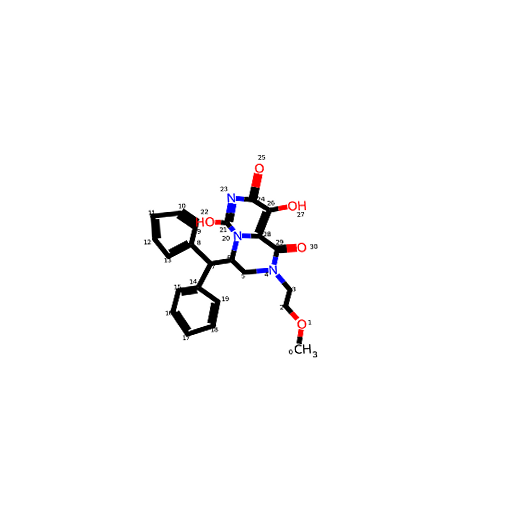 COCCN1CC(C(c2c#cccc2)c2ccccc2)n2c(O)nc(=O)c(O)c2C1=O